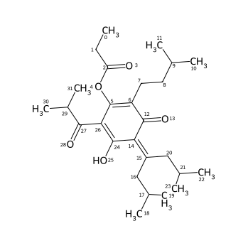 CCC(=O)OC1=C(CCC(C)C)C(=O)C(=C(CC(C)C)CC(C)C)C(O)=C1C(=O)C(C)C